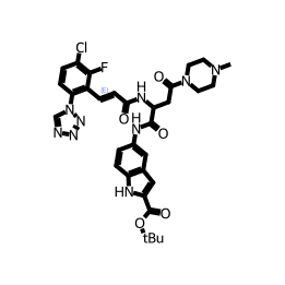 CN1CCN(C(=O)CC(NC(=O)/C=C/c2c(-n3cnnn3)ccc(Cl)c2F)C(=O)Nc2ccc3[nH]c(C(=O)OC(C)(C)C)cc3c2)CC1